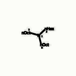 CCCCCCCCN(CCCCCC)CCCCCCCC